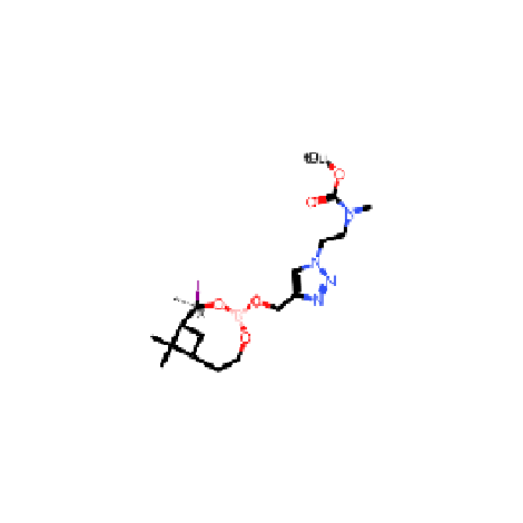 CN(CCn1cc(COB2OCCC3CC(C3(C)C)[C@@](C)(I)O2)nn1)C(=O)OC(C)(C)C